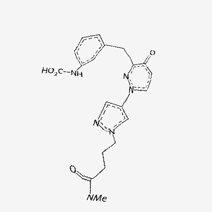 CNC(=O)CCCn1cc(-n2ccc(=O)c(Cc3cccc(NC(=O)O)c3)n2)cn1